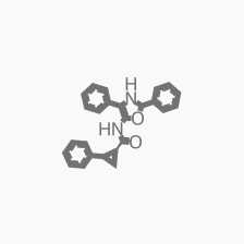 O=C(NC1=C(c2ccccc2)NC(c2ccccc2)O1)[C@H]1CC1c1ccccc1